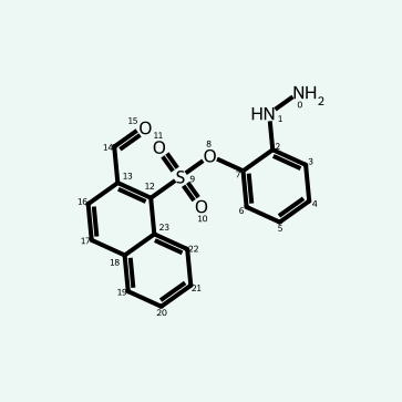 NNc1ccccc1OS(=O)(=O)c1c(C=O)ccc2ccccc12